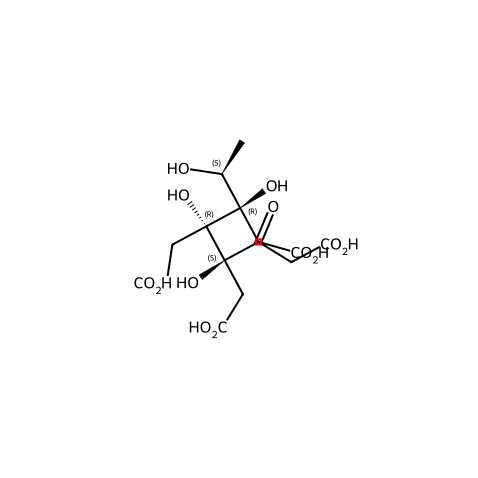 C[C@H](O)[C@](O)(CC(=O)O)[C@](O)(CC(=O)O)[C@@](O)(CC(=O)O)C(=O)CC(=O)O